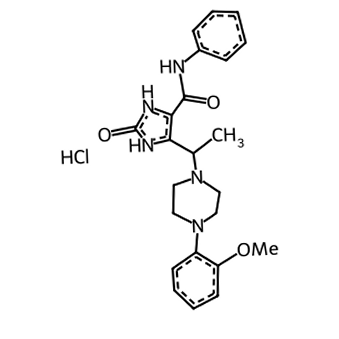 COc1ccccc1N1CCN(C(C)c2[nH]c(=O)[nH]c2C(=O)Nc2ccccc2)CC1.Cl